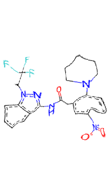 O=C(Nc1nn(CC(F)(F)F)c2ccccc12)c1cc([N+](=O)[O-])ccc1N1CCCCC1